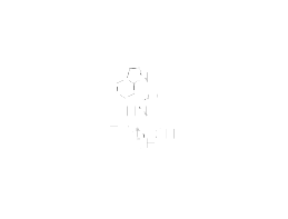 CC(CNC(=O)c1cccc2[c]c[nH]c12)N(C)C